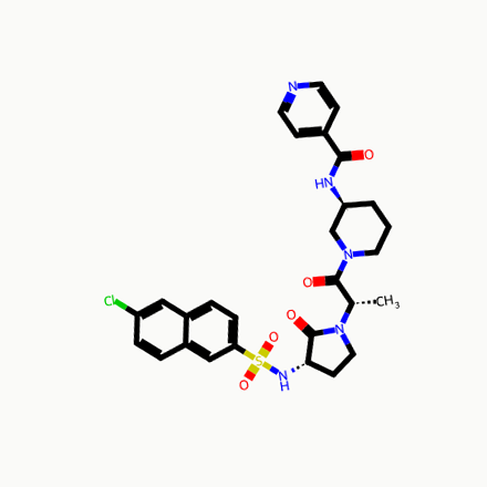 C[C@@H](C(=O)N1CCC[C@H](NC(=O)c2ccncc2)C1)N1CC[C@H](NS(=O)(=O)c2ccc3cc(Cl)ccc3c2)C1=O